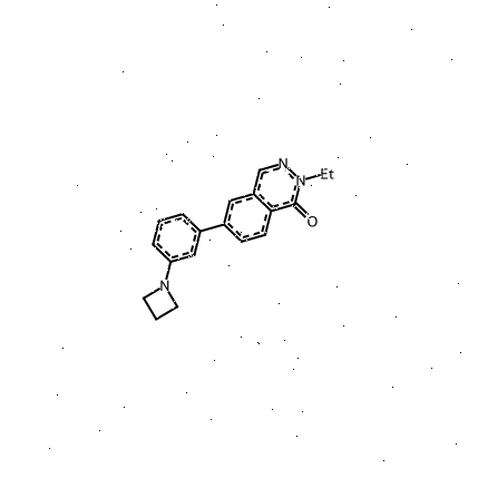 CCn1ncc2cc(-c3cccc(N4CCC4)c3)ccc2c1=O